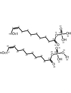 CCCCCCCC/C=C\CCCCCCCC(=O)OP(=O)(O)O.CCCCCCCC/C=C\CCCCCCCC(=O)OP(=O)(O)OCC